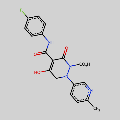 O=C(Nc1ccc(F)cc1)C1=C(O)CN(c2ccc(C(F)(F)F)nc2)N(C(=O)O)C1=O